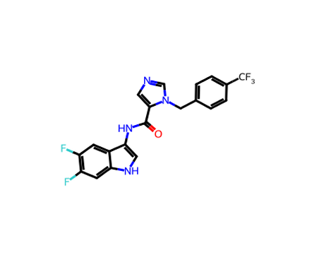 O=C(Nc1c[nH]c2cc(F)c(F)cc12)c1cncn1Cc1ccc(C(F)(F)F)cc1